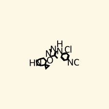 [C-]#[N+]c1ccc(Nc2ncnc(OC3CC4CCC(N4)C34CC4)c2C)c(Cl)c1